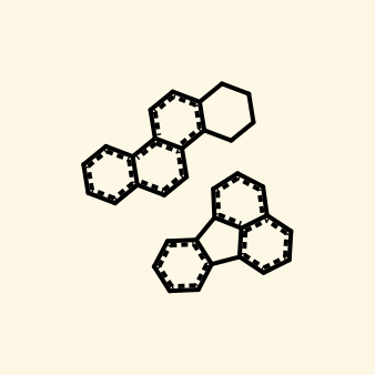 c1ccc2c(c1)-c1cccc3cccc-2c13.c1ccc2c(c1)ccc1c3c(ccc12)CCCC3